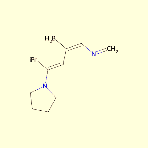 BC(=C/N=C)/C=C(\C(C)C)N1CCCC1